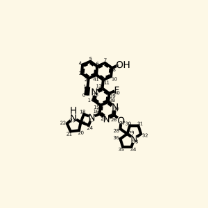 C#Cc1cccc2cc(O)cc(-c3ncc4c(N5CC6(CCCN6)C5)nc(OCC56CCCN5CCC6)nc4c3F)c12